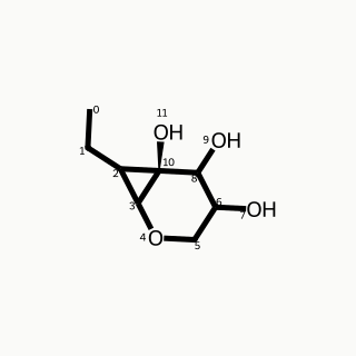 CCC1C2OCC(O)C(O)[C@@]12O